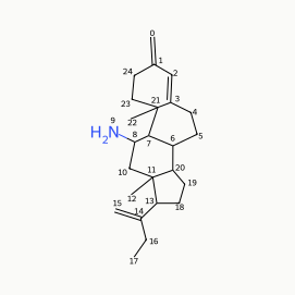 C=C1C=C2CCC3C(C(N)CC4(C)C(C(=C)CC)CCC34)C2(C)CC1